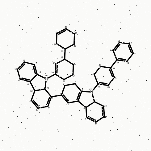 C1=CC2C3=C(CCC(C4=CC=CC5c6ccccc6N(C6=CC(C7CC=CCC7)CCC6)C45)=C3)N(C3=CC=C(c4ccccc4)CC3)C2C=C1